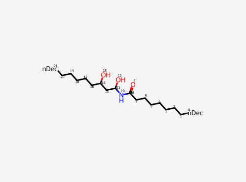 CCCCCCCCCCCCCCCCCC(=O)NC(O)CC(O)CCCCCCCCCCCCCCC